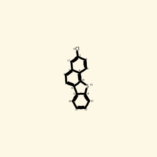 Clc1ccc2c(ccc3c4ccccc4sc23)c1